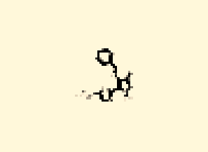 CCOC(=O)c1cnc(-c2c(OCc3ccccc3)c(C)nn2CC)o1